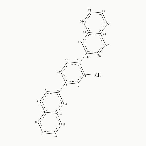 Clc1cc(-c2ccc3ccccc3c2)ccc1-c1ccc2ccccc2c1